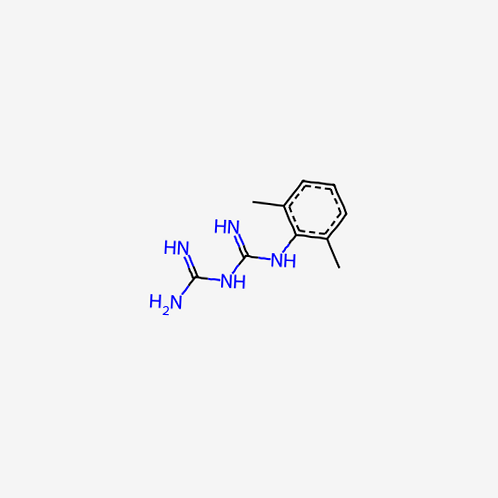 Cc1cccc(C)c1NC(=N)NC(=N)N